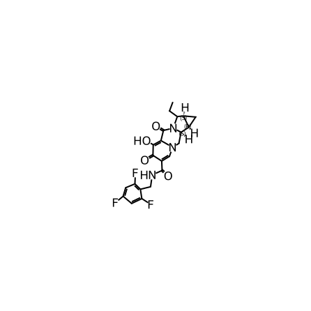 CCC1[C@H]2C[C@H]2[C@H]2Cn3cc(C(=O)NCc4c(F)cc(F)cc4F)c(=O)c(O)c3C(=O)N12